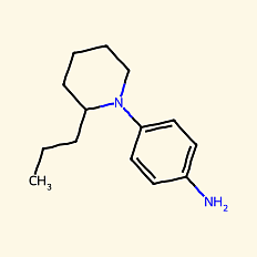 CCCC1CCCCN1c1ccc(N)cc1